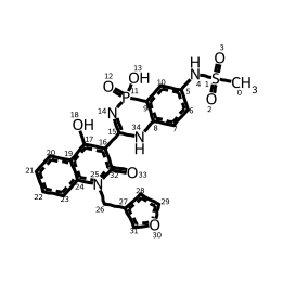 CS(=O)(=O)Nc1ccc2c(c1)P(=O)(O)N=C(c1c(O)c3ccccc3n(Cc3ccoc3)c1=O)N2